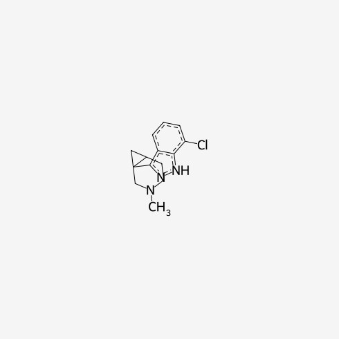 CN1CCC2CC2(c2n[nH]c3c(Cl)cccc23)C1